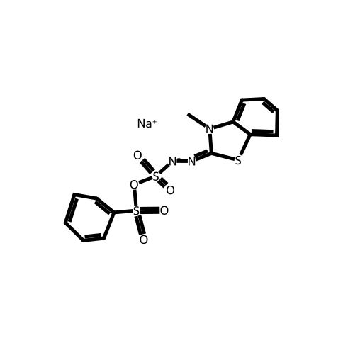 Cn1c(=N[N-]S(=O)(=O)OS(=O)(=O)c2ccccc2)sc2ccccc21.[Na+]